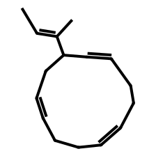 CC=C(C)C1C=CCCC=CCCC=CC1